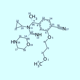 COCCCOc1cc([C@@H](C)N(C(=N)[C@H]2CNCCO2)C2CC2)ccc1C#N